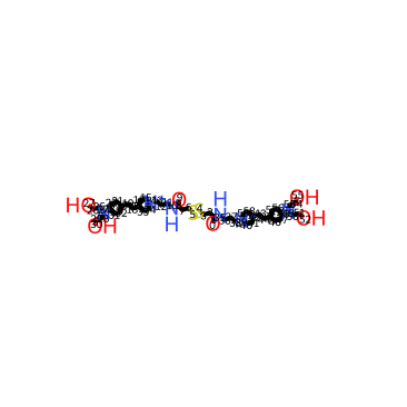 O=C(CCSSCCC(=O)NCCC[n+]1ccc(/C=C/c2ccc(N(CCO)CCO)cc2)cc1)NCCC[n+]1ccc(/C=C/c2ccc(N(CCO)CCO)cc2)cc1